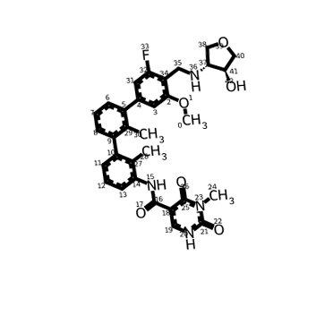 COc1cc(-c2cccc(-c3cccc(NC(=O)c4c[nH]c(=O)n(C)c4=O)c3C)c2C)cc(F)c1CN[C@@H]1COC[C@H]1O